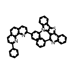 c1ccc(-c2ccc3ccc4ccc(-c5cccc(-n6c7ccccc7c7sc8c9ccccc9nc(-c9ccccc9)c8c76)c5)nc4c3n2)cc1